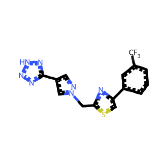 FC(F)(F)c1cccc(-c2csc(Cn3cc(-c4nn[nH]n4)cn3)n2)c1